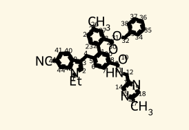 CCn1cc(Cc2ccc(C(=O)NCc3cnc(C)cn3)cc2-c2ccc(C)cc2C(=O)OCc2ccccc2)c2ccc(C#N)cc21